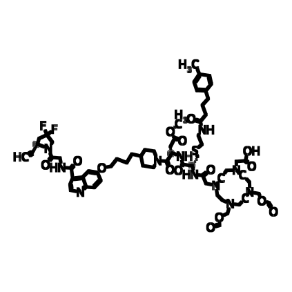 C#C[C@H]1CC(F)(F)CN1C(=O)CNC(=O)c1ccnc2ccc(OCCCCC3CCN(C(=O)[C@H](CC(=O)OC)NC(=O)[C@H](CSCCNC(=O)CCCc4ccc(C)cc4)NC(=O)CN4CCN(COC=O)CCN(COC=O)CCN(CC(=O)O)CC4)CC3)cc12